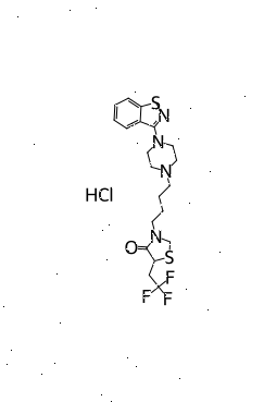 Cl.O=C1C(CC(F)(F)F)SCN1CCCCN1CCN(c2nsc3ccccc23)CC1